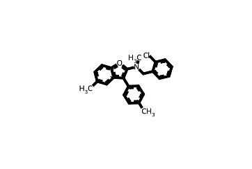 Cc1ccc(-c2c(N(C)Cc3ccccc3Cl)oc3ccc(C)cc23)cc1